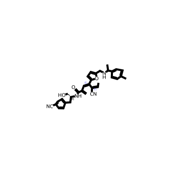 C=C(/C=C(\C(C#N)=C/C)c1ccc(CNC(C)c2ccc(C)cc2)o1)C(=O)N[C@@H](CO)Cc1ccc(C#N)cc1